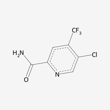 NC(=O)c1cc(C(F)(F)F)c(Cl)cn1